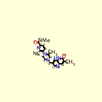 CNC(=O)c1ccc(N2CCN(Cc3cnc4cc(C)c(=O)[nH]c4c3)C[C@H]2C)c(C#N)n1